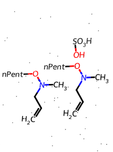 C=CCN(C)OCCCCC.C=CCN(C)OCCCCC.O=S(=O)(O)O